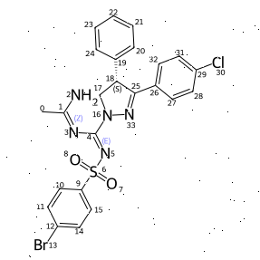 C/C(N)=N/C(=N\S(=O)(=O)c1ccc(Br)cc1)N1C[C@H](c2ccccc2)C(c2ccc(Cl)cc2)=N1